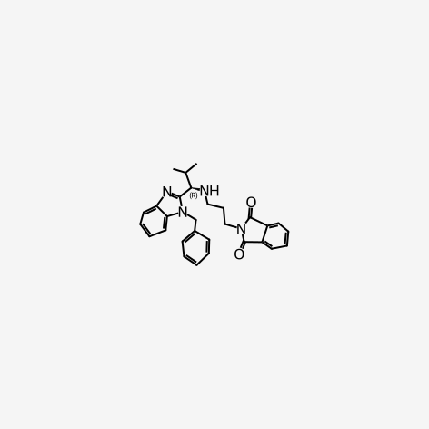 CC(C)[C@@H](NCCCN1C(=O)c2ccccc2C1=O)c1nc2ccccc2n1Cc1ccccc1